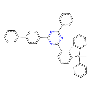 C[Si]1(c2ccccc2)c2ccccc2-c2c(-c3nc(-c4ccccc4)nc(-c4ccc(-c5ccccc5)cc4)n3)cccc21